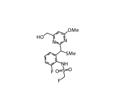 COc1cc(CO)nc(C(SC)c2cccc(F)c2NS(=O)(=O)CF)n1